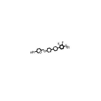 CCCC1CCC(COC2CCC(C3CCC(c4ccc(OCC)c(F)c4F)CC3)CC2)OC1